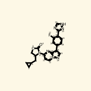 O=C1OCC(CC2CC2)N1c1ccn2ncc(-c3ccc(-c4nc[nH]n4)c(F)c3)c2n1